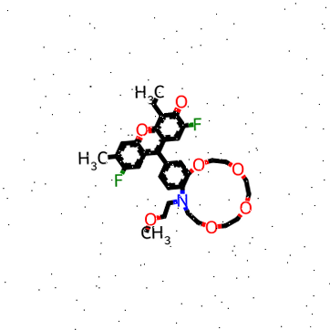 CCc1c2oc3cc(C)c(F)cc3c(-c3ccc4c(c3)OCCOCCOCCOCCN4CCOC)c-2cc(F)c1=O